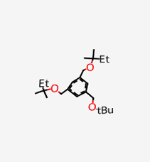 CCC(C)(C)OCc1cc(COC(C)(C)C)cc(COC(C)(C)CC)c1